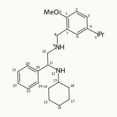 COc1ccc(C(C)C)cc1CNCC(NC1CCCCC1)c1ccccc1